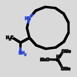 CC(N)C1CCCCCCCCCCNC1.CO[SiH](OC)OC